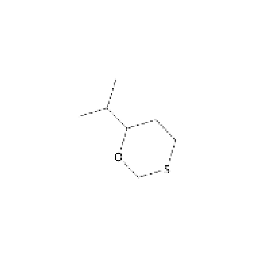 CC(C)C1CCSCO1